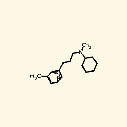 Cc1cc2cc(CCCN(C)C3CCCCC3)c1o2